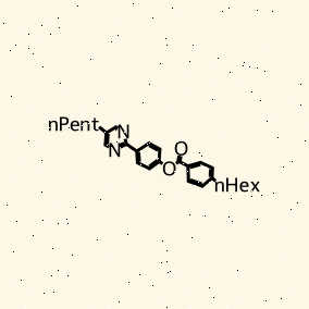 CCCCCCc1ccc(C(=O)Oc2ccc(-c3ncc(CCCCC)cn3)cc2)cc1